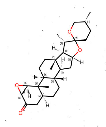 C[C@@H]1CC[C@@]2(OC1)O[C@H]1C[C@H]3[C@@H]4CC[C@H]5CC(=O)[C@H]6O[C@H]6[C@]5(C)[C@H]4CC[C@]3(C)[C@H]1[C@@H]2C